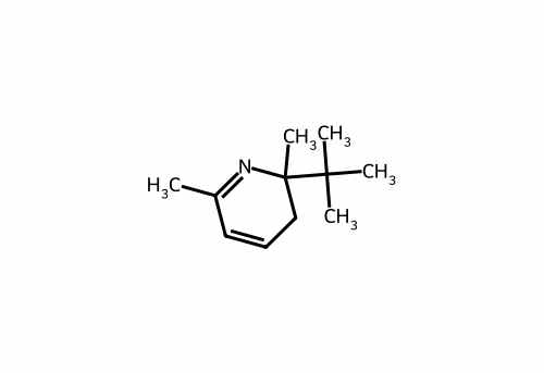 CC1=NC(C)(C(C)(C)C)CC=C1